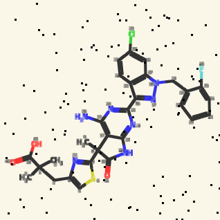 CC(C)(Cc1csc(C2(C)C(=O)Nc3nc(-c4nn(Cc5ccccc5F)c5cc(Cl)ccc45)nc(N)c32)n1)C(=O)O